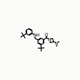 CN(C)C1CN(C(=O)c2cc(CNc3cccc(C(C)(C)C)c3)cc(C(C)(C)C)c2)C1